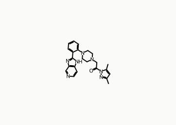 Cc1cc(C)n(C(=O)CN2CCN(c3ccccc3-c3nc4cnccc4[nH]3)CC2)n1